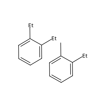 CCc1ccccc1C.CCc1ccccc1CC